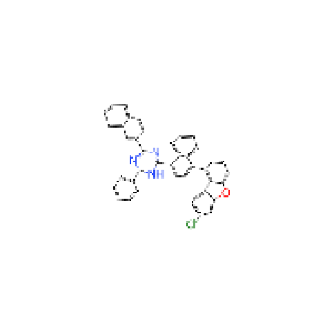 Clc1ccc2c(c1)oc1cccc(-c3ccc(C4=NC(c5ccc6ccccc6c5)=NC(c5ccccc5)N4)c4ccccc34)c12